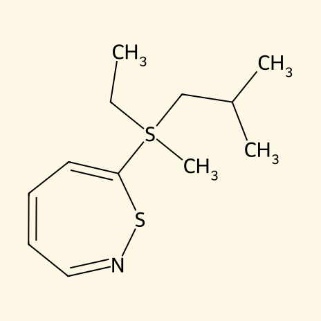 CCS(C)(CC(C)C)C1=CC=CC=NS1